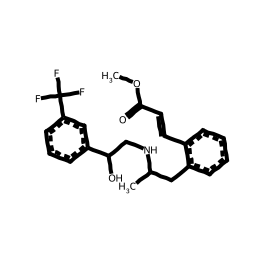 COC(=O)C=Cc1ccccc1CC(C)NCC(O)c1cccc(C(F)(F)F)c1